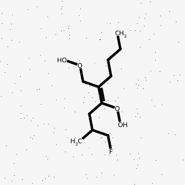 CCCC/C(COO)=C(/CC(C)CF)OO